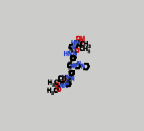 COC(=O)N[C@H](C(=O)N1CCC[C@H]1c1nc2ccc([C@@H]3CC[C@@H](c4ccc5nc([C@@H]6CCCN6C(=O)[C@@H](NC(=O)O)C(C)C)[nH]c5c4)N3N3C=CC(N4CCCCC4)=NC3)cc2[nH]1)C(C)C